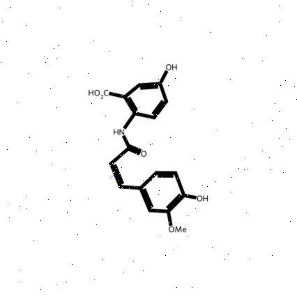 COc1cc(/C=C\C(=O)Nc2ccc(O)cc2C(=O)O)ccc1O